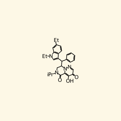 CCc1ccc2c(C(c3ccccc3)C3CN(C(C)C)C(=O)c4c(O)c(=O)cnn43)cn(CC)c2c1